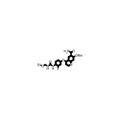 CCOCNC(=O)Nc1ccc(Oc2ccnc3cc(OC)c(C(N)=O)cc23)cc1F